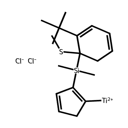 CSC1([Si](C)(C)C2=[C]([Ti+2])CC=C2)CC=CC=C1C(C)(C)C.[Cl-].[Cl-]